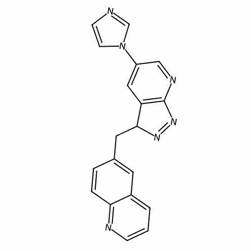 c1cnc2ccc(CC3N=Nc4ncc(-n5ccnc5)cc43)cc2c1